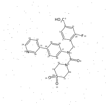 O=C(O)c1ccc(CN(C(=O)N2CCS(=O)(=O)CC2)c2ccc(-c3cccnc3)cc2)c(F)c1